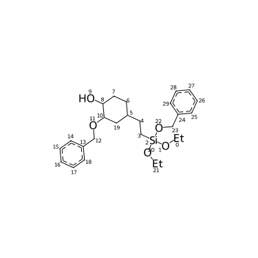 CCO[Si](CCC1CCC(O)C(OCc2ccccc2)C1)(OCC)OCc1ccccc1